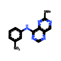 CSc1ncc2ncnc(Nc3cccc([N+](=O)[O-])c3)c2n1